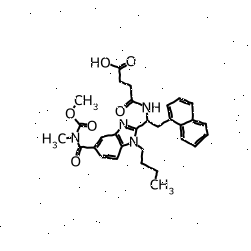 CCCCn1c(C(Cc2cccc3ccccc23)NC(=O)CCC(=O)O)nc2cc(C(=O)N(C)C(=O)OC)ccc21